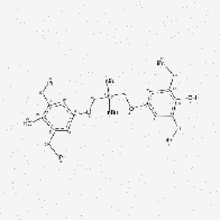 CCCC[Si](CCCC)(COc1cc(CC(C)C)c(O)c(CC(C)C)c1)COc1cc(CC(C)C)c(O)c(CC(C)C)c1